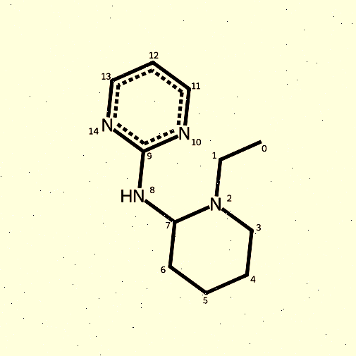 CCN1CCCCC1Nc1ncccn1